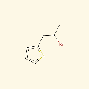 CC(Br)Cc1cccs1